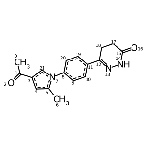 CC(=O)c1cc(C)n(-c2ccc(C3=NNC(=O)CC3)cc2)c1